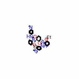 CCOc1ccccc1N(C[C@H]1CCC[C@H](CN(C(=O)Nc2ccc(N(C)C)cc2)c2ccccc2OCC)C1)C(=O)Nc1ccc(N(C)C)cc1